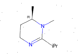 CC(C)C1=NCC[C@@H](C)N1C